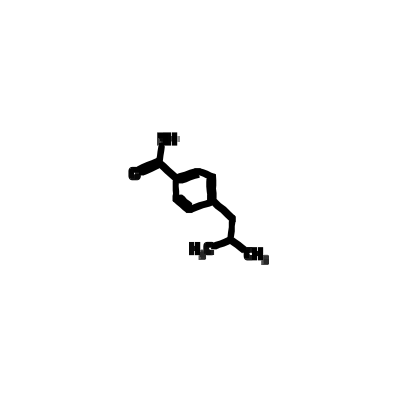 CC(C)Cc1ccc(C([NH])=O)cc1